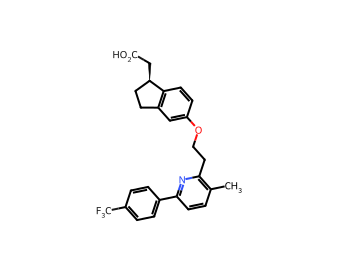 Cc1ccc(-c2ccc(C(F)(F)F)cc2)nc1CCOc1ccc2c(c1)CC[C@H]2CC(=O)O